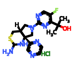 CC(C)(O)c1nc(N2C[C@H]3CSC(N)N[C@@]3(c3cnccn3)C2)ncc1F.Cl